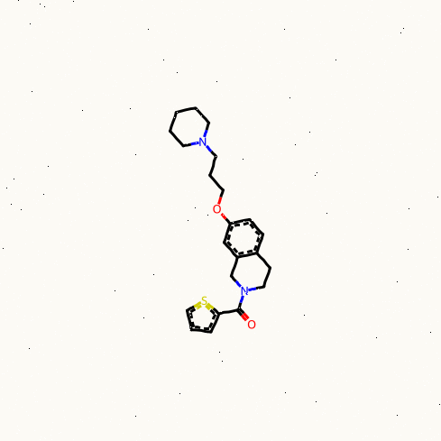 O=C(c1cccs1)N1CCc2ccc(OCCCN3CCCCC3)cc2C1